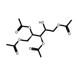 CC(=O)OCC(O)[C@@H](OC(C)=O)[C@@H](COC(C)=O)OC(C)=O